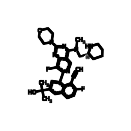 C#Cc1c(F)ccc2cc(C(C)(C)O)cc(-c3ncc4c(N(C)C[C@H]5CCCCN5)nc(N5CCOCC5)nc4c3F)c12